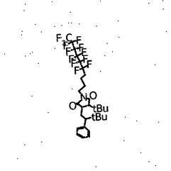 CC(C)(C)C(CC1C(=O)N(CCCCC(F)(F)C(F)(F)C(F)(F)C(F)(F)C(F)(F)C(F)(F)F)C(=O)C1C(C)(C)C)c1ccccc1